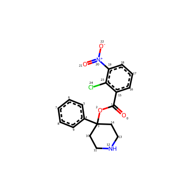 O=C(OC1(c2ccccc2)CCNCC1)c1cccc([N+](=O)[O-])c1Cl